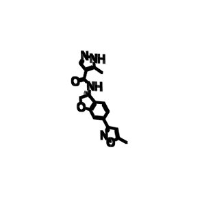 Cc1cc(-c2ccc3c(c2)OC[C@H]3NC(=O)c2cn[nH]c2C)no1